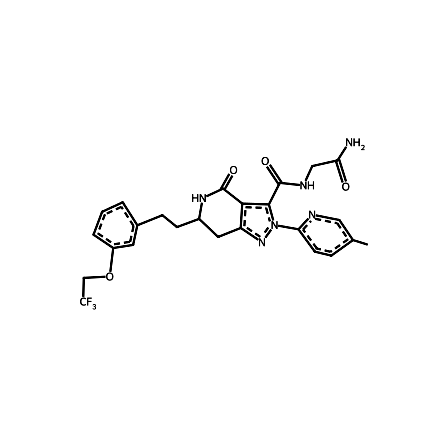 Cc1ccc(-n2nc3c(c2C(=O)NCC(N)=O)C(=O)NC(CCc2cccc(OCC(F)(F)F)c2)C3)nc1